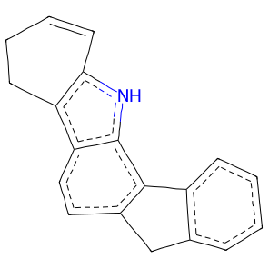 C1=Cc2[nH]c3c4c(ccc3c2CC1)Cc1ccccc1-4